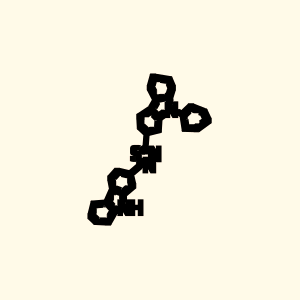 c1ccc(-n2c3ccccc3c3ccc(-c4nnc(-c5ccc6c(c5)[nH]c5ccccc56)s4)cc32)cc1